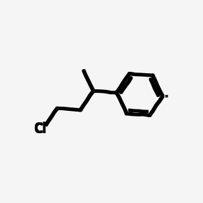 CC(CCCl)c1cc[c]cc1